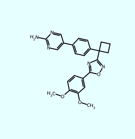 COc1ccc(-c2nc(C3(c4ccc(-c5cnc(N)nc5)cc4)CCC3)no2)cc1OC